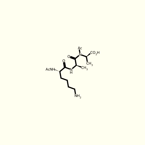 CC(=O)N[C@@H](CCCCN)C(=O)N[C@H](C)C(=O)N(C(C)=O)[C@H](C)C(=O)O